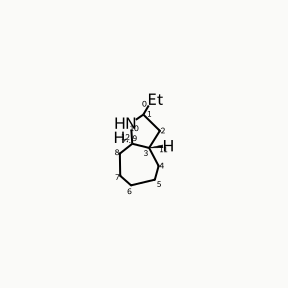 CCC1C[C@@H]2CCCCC[C@H]2N1